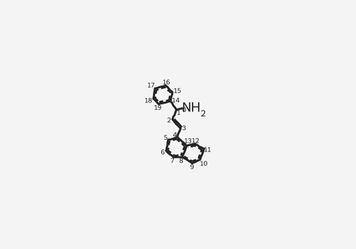 NC(C=Cc1cccc2ccccc12)c1ccccc1